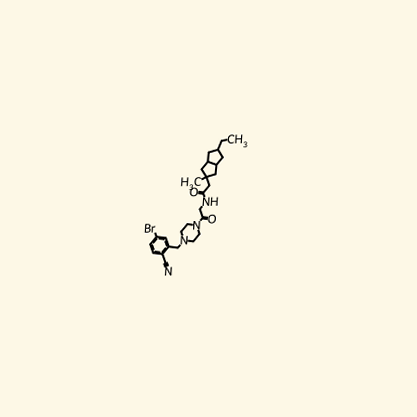 CCC1CC2CC(C)(CC(=O)NCC(=O)N3CCN(Cc4cc(Br)ccc4C#N)CC3)CC2C1